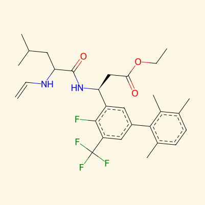 C=CNC(CC(C)C)C(=O)N[C@@H](CC(=O)OCC)c1cc(-c2c(C)ccc(C)c2C)cc(C(F)(F)F)c1F